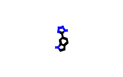 c1cc2ccc(-c3nnn[nH]3)cc2[nH]1